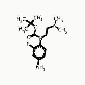 CN(C)CCN(C(=O)OC(C)(C)C)c1ccc(N)cc1F